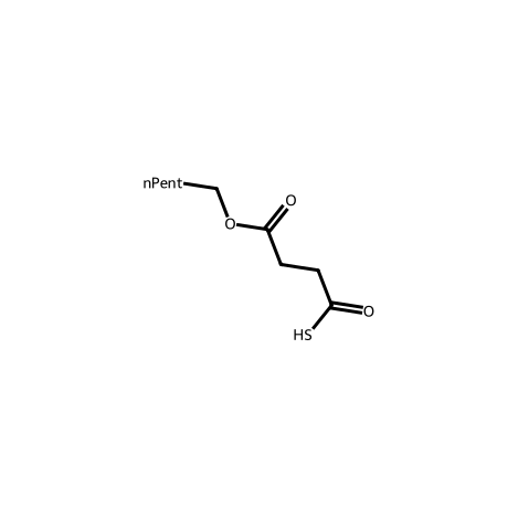 CCCCCCOC(=O)CCC(=O)S